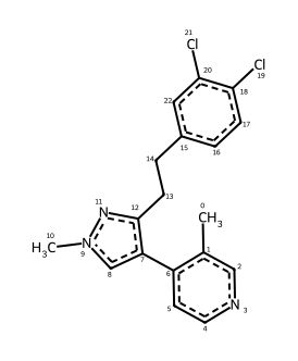 Cc1cnccc1-c1cn(C)nc1CCc1ccc(Cl)c(Cl)c1